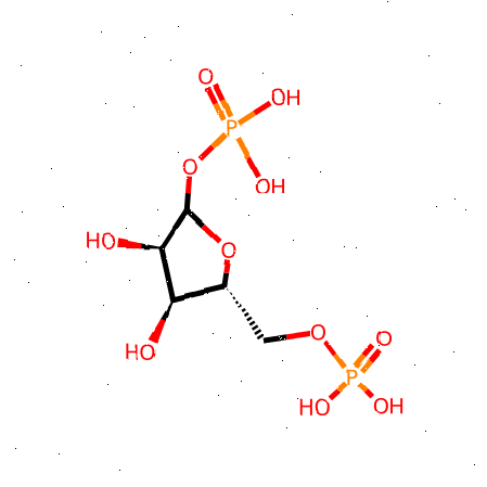 O=P(O)(O)OC[C@H]1OC(OP(=O)(O)O)[C@H](O)[C@@H]1O